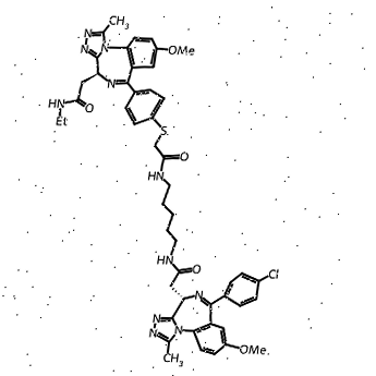 CCNC(=O)C[C@@H]1N=C(c2ccc(SCC(=O)NCCCCCNC(=O)C[C@@H]3N=C(c4ccc(Cl)cc4)c4cc(OC)ccc4-n4c(C)nnc43)cc2)c2cc(OC)ccc2-n2c(C)nnc21